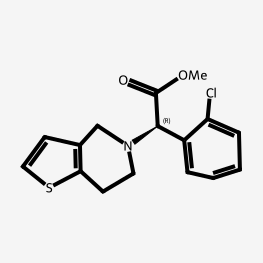 COC(=O)[C@@H](c1ccccc1Cl)N1CCc2sccc2C1